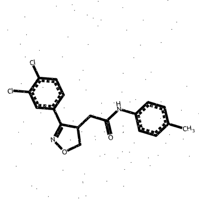 Cc1ccc(NC(=O)CC2CON=C2c2ccc(Cl)c(Cl)c2)cc1